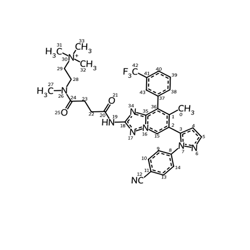 Cc1c(-c2ccnn2-c2ccc(C#N)cc2)cn2nc(NC(=O)CCC(=O)N(C)CC[N+](C)(C)C)nc2c1-c1cccc(C(F)(F)F)c1